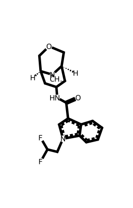 CN1[C@@H]2COC[C@H]1CC(NC(=O)c1cn(CC(F)F)c3ccccc13)C2